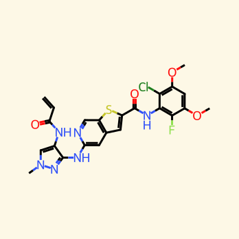 C=CC(=O)Nc1cn(C)nc1Nc1cc2cc(C(=O)Nc3c(F)c(OC)cc(OC)c3Cl)sc2cn1